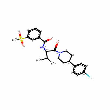 CC(C)[C@@H](NC(=O)c1cccc(S(C)(=O)=O)c1)C(=O)N1CCC(c2ccc(F)cc2)CC1